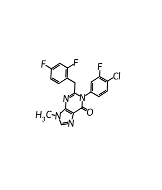 Cn1cnc2c(=O)n(-c3ccc(Cl)c(F)c3)c(Cc3ccc(F)cc3F)nc21